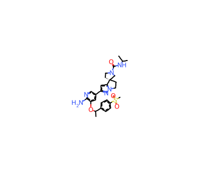 CC(C)NC(=O)N1CC[C@@]2(CCn3nc(-c4cnc(N)c(OC(C)c5ccc(S(C)(=O)=O)cc5)c4)cc32)C1